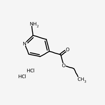 CCOC(=O)c1ccnc(N)c1.Cl.Cl